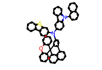 c1ccc2c(c1)Oc1ccccc1C21c2cc(N(c3ccc4c(c3)sc3ccccc34)c3ccc4c(c3)c3ccccc3n4-c3cccc4ccccc34)ccc2-c2cccc3cccc1c23